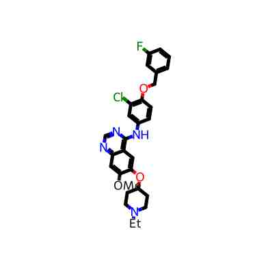 CCN1CCC(Oc2cc3c(Nc4ccc(OCc5cccc(F)c5)c(Cl)c4)ncnc3cc2OC)CC1